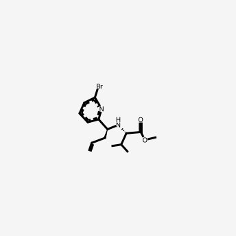 C=CC[C@H](N[C@H](C(=O)OC)C(C)C)c1cccc(Br)n1